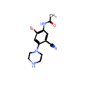 CC(=O)Nc1cc(C#N)c(N2CCNCC2)cc1Br